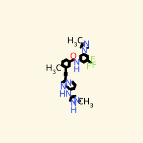 Cc1cn(-c2cc(NC(=O)c3ccc(C)c(C#Cc4cnc5c(NC6=CN(C)NC6)cccn45)c3)cc(C(F)(F)F)c2)cn1